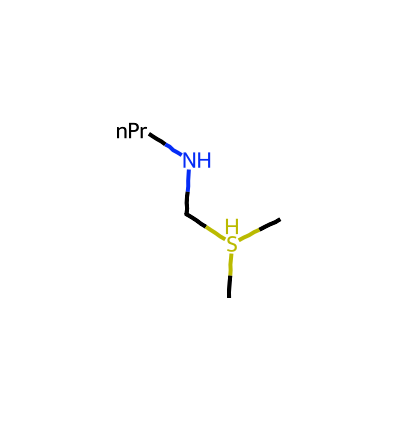 CCCNC[SH](C)C